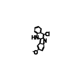 COc1ccc2nc3c(Cl)c4ccccc4[nH]c-3c2c1